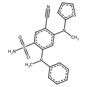 CN(c1ccccc1)c1cc(N(C)c2cccs2)c(C#N)cc1S(N)(=O)=O